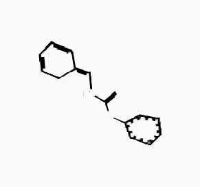 O=C(NC=C1C=CC=CC1)Oc1ccccc1